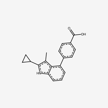 Cc1c(C2CC2)[nH]c2c[c]cc(-c3ccc(C(=O)O)cc3)c12